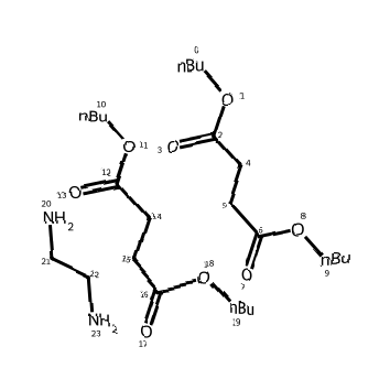 CCCCOC(=O)CCC(=O)OCCCC.CCCCOC(=O)CCC(=O)OCCCC.NCCN